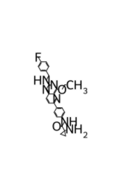 CCOc1nc(NCc2ccc(F)cc2)nc2ccc(-c3ccc(NC(=O)C4(N)CC4)cc3)nc12